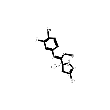 CCS/C(=N\c1ccc(C#N)c(C(F)(F)F)c1)[C@]1(C)CC(C(F)(F)F)=NN1